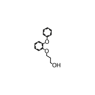 OCCCOc1ccccc1Oc1ccccc1